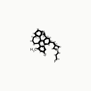 Cc1cc(F)ccc1C1=C(c2ccc(C=C3CN(CCCF)C3)cc2C#N)c2ccccc2CCC1